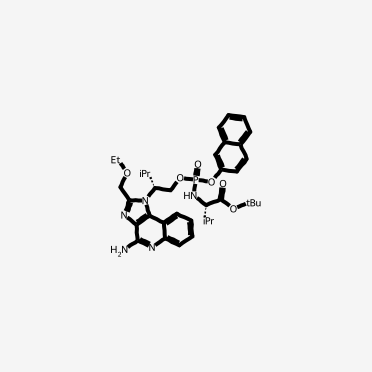 CCOCc1nc2c(N)nc3ccccc3c2n1[C@@H](COP(=O)(N[C@H](C(=O)OC(C)(C)C)C(C)C)Oc1ccc2ccccc2c1)C(C)C